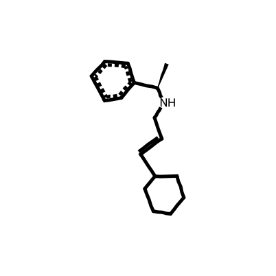 C[C@@H](NCC=CC1CCCCC1)c1ccccc1